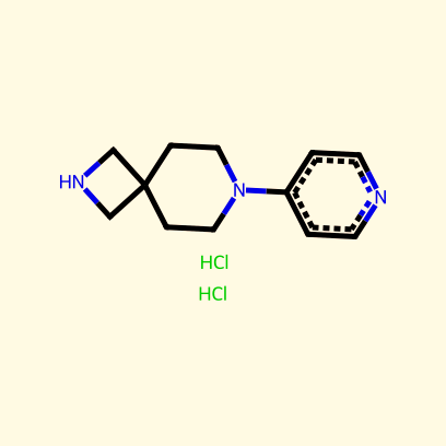 Cl.Cl.c1cc(N2CCC3(CC2)CNC3)ccn1